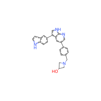 OC1CN(Cc2ccc(-c3cnc4[nH]cc(-c5ccc6[nH]ccc6c5)c4c3)cc2)C1